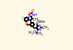 COCc1nc(C)nc(N(C)C)c1Cc1ccc2c(c1)COc1cc(F)ccc1C2=C(C)c1noc(=O)[nH]1